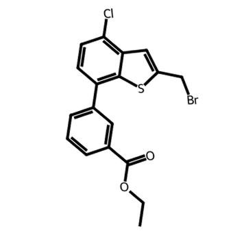 CCOC(=O)c1cccc(-c2ccc(Cl)c3cc(CBr)sc23)c1